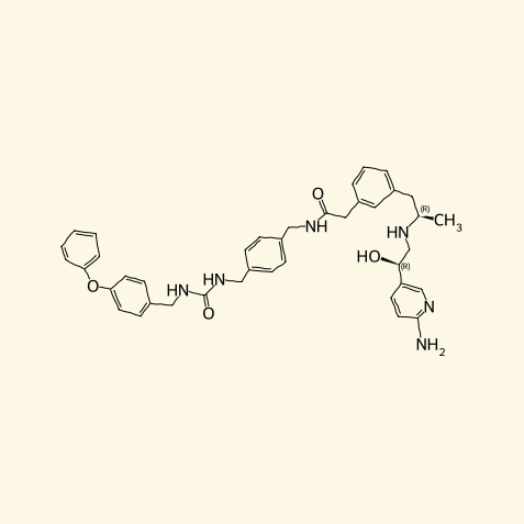 C[C@H](Cc1cccc(CC(=O)NCc2ccc(CNC(=O)NCc3ccc(Oc4ccccc4)cc3)cc2)c1)NC[C@H](O)c1ccc(N)nc1